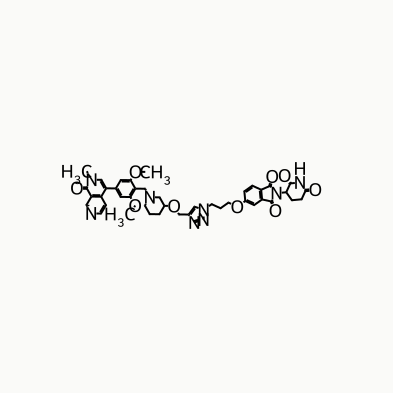 COc1cc(-c2cn(C)c(=O)c3cnccc23)cc(OC)c1CN1CCCC(OCc2cn(CCCOc3ccc4c(c3)C(=O)N(C3CCC(=O)NC3=O)C4=O)nn2)C1